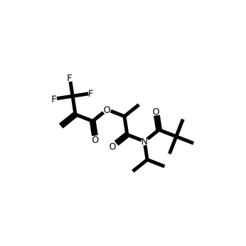 C=C(C(=O)OC(C)C(=O)N(C(=O)C(C)(C)C)C(C)C)C(F)(F)F